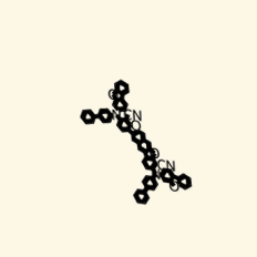 N#Cc1c(N(c2ccc(-c3ccccc3)cc2)c2ccc3c(c2)oc2ccccc23)ccc2c1oc1cc3cc4oc5c(C#N)c(N(c6ccc(-c7ccccc7)cc6)c6ccc7c(c6)oc6ccccc67)ccc5c4cc3cc12